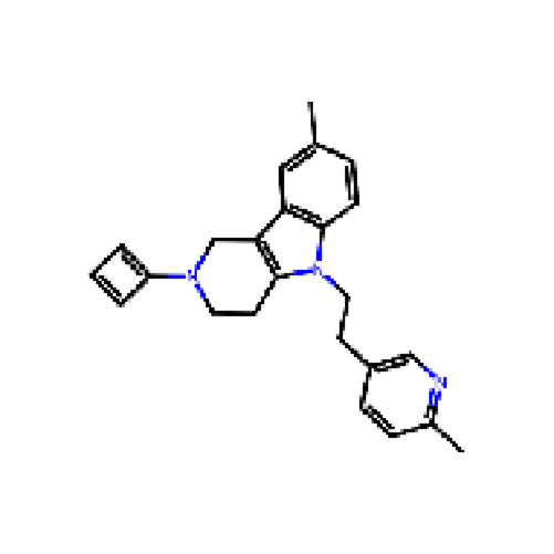 Cc1ccc2c(c1)c1c(n2CCc2ccc(C)nc2)CCN(C2=CC=C2)C1